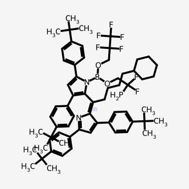 CC(C)(C)c1ccc(C2=CC(c3ccc(C(C)(C)C)cc3)=N/C2=C(/CCCCC2CCCCC2)c2c(-c3ccc(C(C)(C)C)cc3)cc(-c3ccc(C(C)(C)C)cc3)n2B(OCC(F)(F)P)OCC(F)(F)C(F)(F)F)cc1